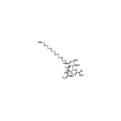 C#CCOCCOCCOCCOCCNC(=O)O[C@@H]([C@@H]1OC(C(=O)O)=C[C@H](NC(=N)N)[C@H]1NC(C)=O)[C@H](O)CO